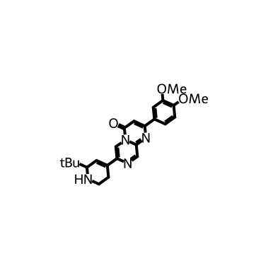 COc1ccc(-c2cc(=O)n3cc(C4=CC(C(C)(C)C)NCC4)ncc3n2)cc1OC